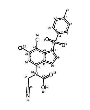 Cc1ccc(S(=O)(=O)n2ccc3c(N(CC#N)C(=O)O)cc(Cl)c(Cl)c32)cc1